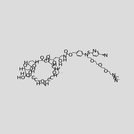 C=C1C[C@@H]2CC[C@]34C[C@@H](O)[C@H](O3)[C@H]3C[C@@H](O4)[C@H]4O[C@H](CC[C@@H]4O3)CC(=O)C[C@@H]3[C@@H](OC)[C@@H](C[C@H](O)CNC(=O)OCc4ccc(N(CCOCCOCCOCCN=[N+]=[N-])Sc5ccc(C#N)cn5)cc4)O[C@H]3C[C@H]3O[C@@H](CC[C@@H]1O2)C[C@@H](C)C3=C